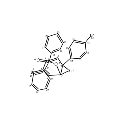 O=P(OC12C=C(Br)C=CC1(c1ccc(Br)cc1)S2)(c1ccccc1)c1ccccc1